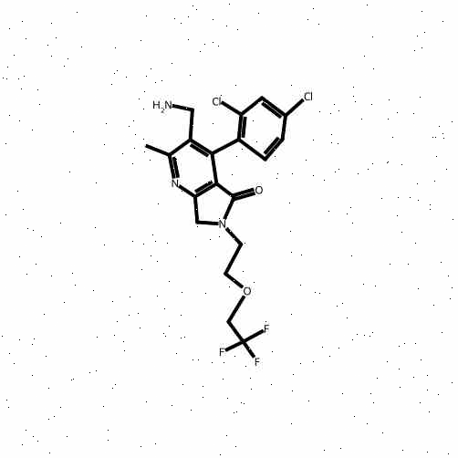 Cc1nc2c(c(-c3ccc(Cl)cc3Cl)c1CN)C(=O)N(CCOCC(F)(F)F)C2